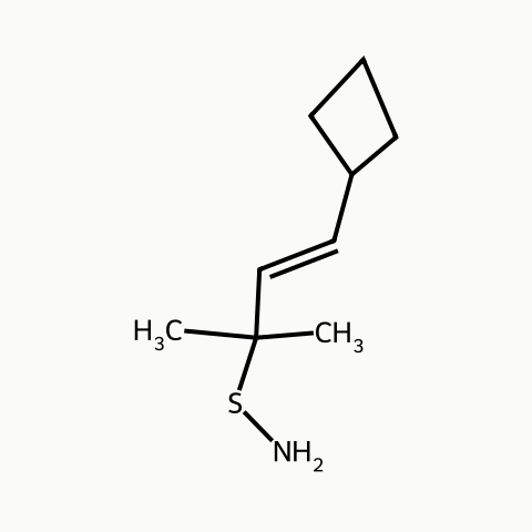 CC(C)(C=CC1CCC1)SN